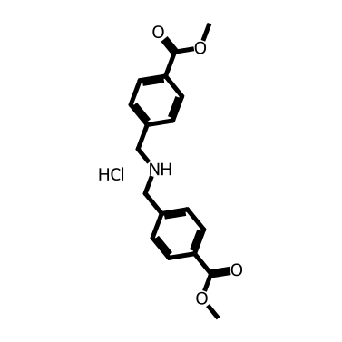 COC(=O)c1ccc(CNCc2ccc(C(=O)OC)cc2)cc1.Cl